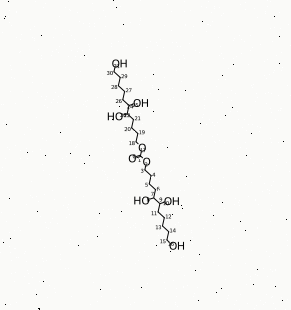 O=C(OCCCCC(O)C(O)CCCCCO)OCCCCC(O)C(O)CCCCCO